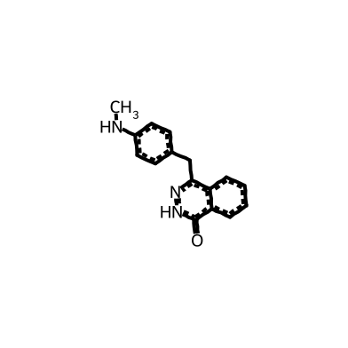 CNc1ccc(Cc2n[nH]c(=O)c3ccccc23)cc1